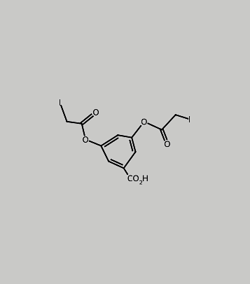 O=C(CI)Oc1cc(OC(=O)CI)cc(C(=O)O)c1